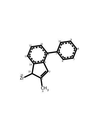 CC1=Cc2c(-c3ccccc3)cccc2[CH]1[Zr]